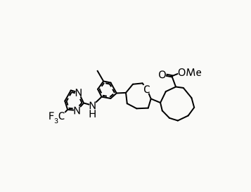 COC(=O)C1CCCCCCCC(C2CCCC(c3cc(C)cc(Nc4nccc(C(F)(F)F)n4)c3)CCC2)C1